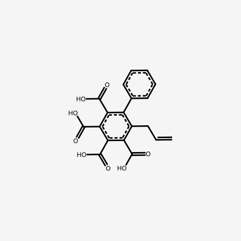 C=CCc1c(C(=O)O)c(C(=O)O)c(C(=O)O)c(C(=O)O)c1-c1ccccc1